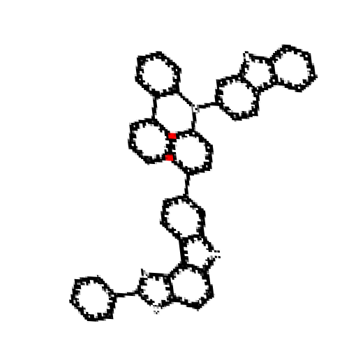 c1ccc(-c2nc3c(ccc4oc5cc(-c6ccc(N(c7ccc8c(c7)oc7ccccc78)c7ccccc7-c7ccccc7)cc6)ccc5c43)o2)cc1